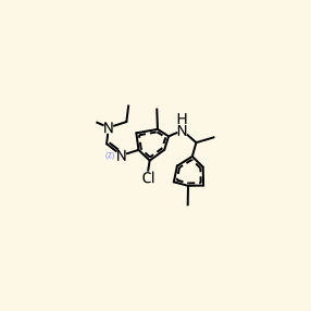 CCN(C)/C=N\c1cc(C)c(NC(C)c2ccc(C)cc2)cc1Cl